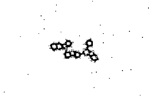 c1ccc(-c2nc(-c3ccc4c(c3)oc3c(-n5c6ccccc6c6cc7ccccc7cc65)cccc34)nc3c2oc2ccccc23)cc1